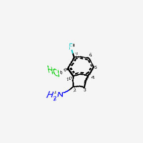 Cl.NC1Cc2ccc(F)cc21